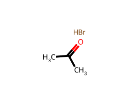 Br.CC(C)=O